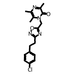 Cc1nc(C)c(=O)n(Cc2nc(CCc3ccc(Cl)cc3)no2)c1C